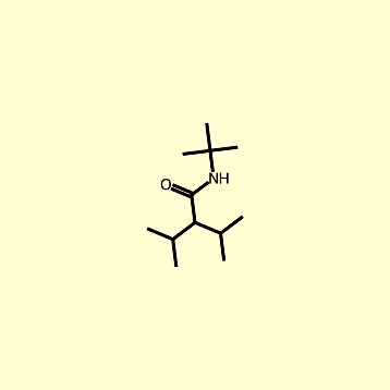 CC(C)C(C(=O)NC(C)(C)C)C(C)C